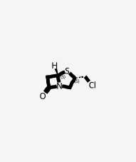 O=C1C[C@@H]2S[C@H](CCl)CN12